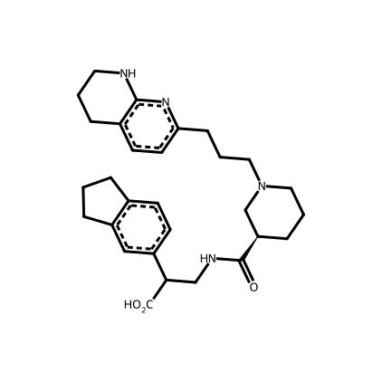 O=C(O)C(CNC(=O)[C@@H]1CCCN(CCCc2ccc3c(n2)NCCC3)C1)c1ccc2c(c1)CCC2